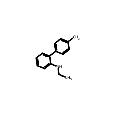 CCNc1ccccc1-c1ccc(C)cc1